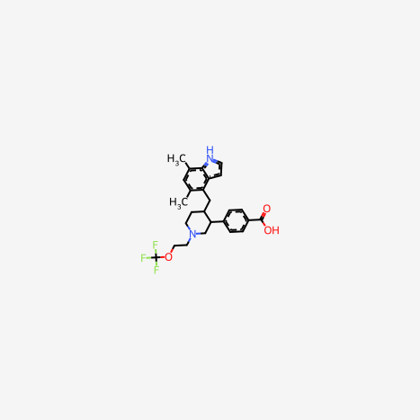 Cc1cc(C)c2[nH]ccc2c1CC1CCN(CCOC(F)(F)F)CC1c1ccc(C(=O)O)cc1